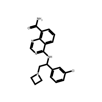 NC(=O)c1cccc2c(NC(CN3CCC3)c3cccc(Cl)c3)ncnc12